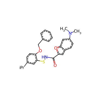 CC(C)c1ccc(OCc2ccccc2)c(SNC(=O)c2cc3ccc(N(C)C)cc3o2)c1